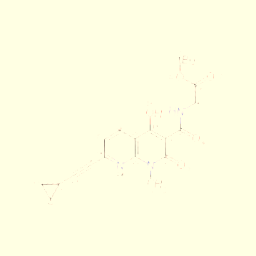 Cn1c(=O)c(C(=O)NCC(=O)OC(C)(C)C)c(O)c2ccc(C#CC3CC3)nc21